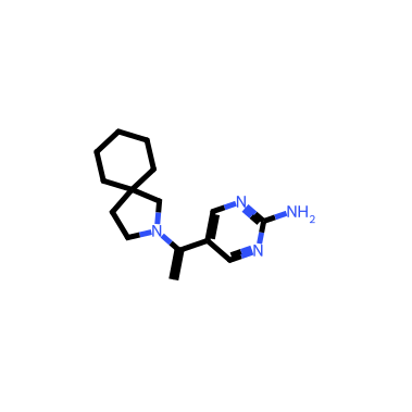 C=C(c1cnc(N)nc1)N1CCC2(CCCCC2)C1